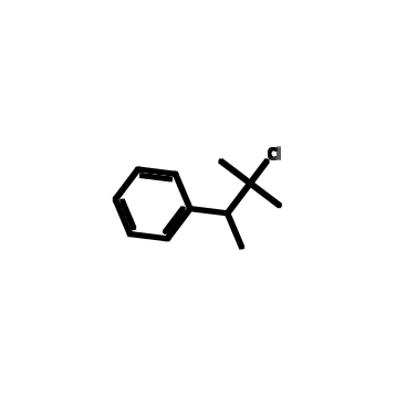 CC(c1ccccc1)C(C)(C)Cl